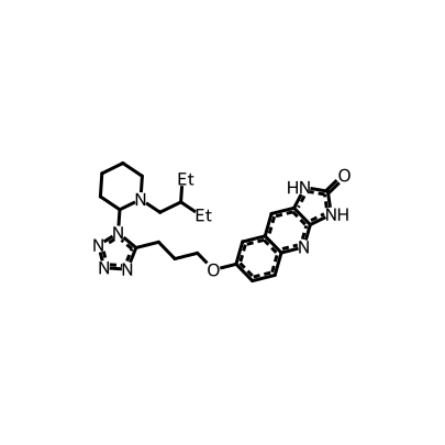 CCC(CC)CN1CCCCC1n1nnnc1CCCOc1ccc2nc3[nH]c(=O)[nH]c3cc2c1